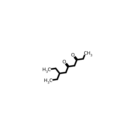 CCC(=O)CC(=O)CC(CC)CC